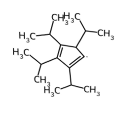 CC(C)C1=[C]C(C(C)C)C(C(C)C)=C1C(C)C